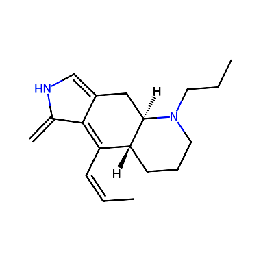 C=c1[nH]cc2c1=C(/C=C\C)[C@H]1CCCN(CCC)[C@@H]1C2